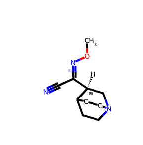 CO/N=C(/C#N)[C@H]1CN2CCC1CC2